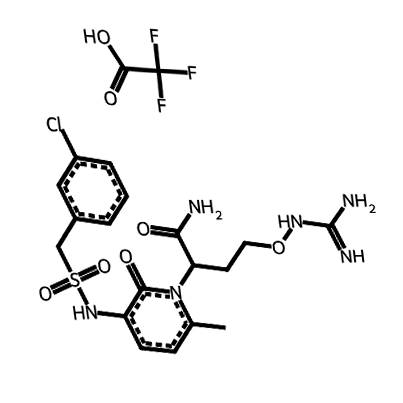 Cc1ccc(NS(=O)(=O)Cc2cccc(Cl)c2)c(=O)n1C(CCONC(=N)N)C(N)=O.O=C(O)C(F)(F)F